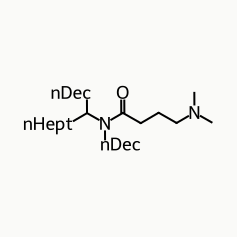 CCCCCCCCCCC(CCCCCCC)N(CCCCCCCCCC)C(=O)CCCN(C)C